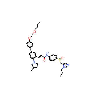 CCCCOCCOc1ccc(-c2ccc(N3CCC(C)C3)c(C=CC(=O)Nc3ccc([S@@+]([O-])Cc4cncn4CCC)cc3)c2)cc1